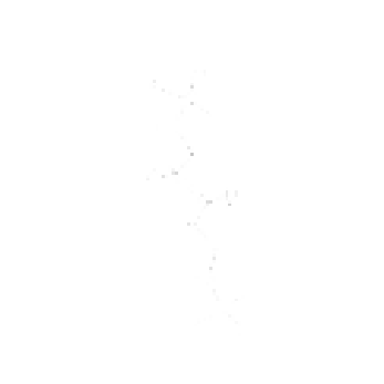 C[Si](C)(C)OCCC(Br)=C(Br)CO[Si](C)(C)C